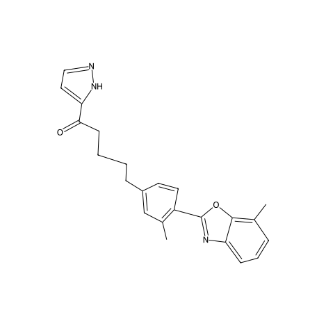 Cc1cc(CCCCC(=O)c2ccn[nH]2)ccc1-c1nc2cccc(C)c2o1